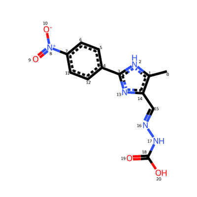 Cc1[nH]c(-c2ccc([N+](=O)[O-])cc2)nc1C=NNC(=O)O